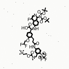 CN(Cc1cc(NC(=O)CCc2cc(C(Nc3ccc4c(N(C(=O)OC(C)(C)C)C(=O)OC(C)(C)C)ncc(F)c4c3)C(=O)O)ccc2OCC(F)F)ccc1S(=O)(=O)C(F)(F)F)C(=O)OCC[Si](C)(C)C